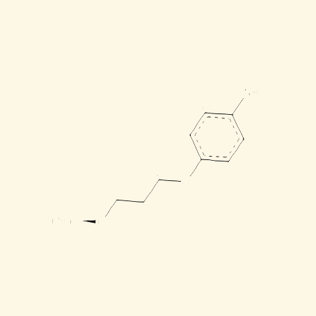 CCC[C@H](C)OCCCOc1ccc(N)cc1